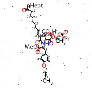 CC#CCOc1ccc(C[C@H](NC(=O)[C@@H](/C=C/CCCCCCC(=O)CCCCCCC)C(O)(CC(=O)O[C@H](C)OC(=O)C(C)C)C(=O)O)C(=O)OC)cc1